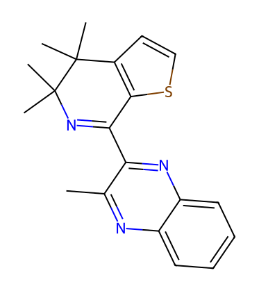 Cc1nc2ccccc2nc1C1=NC(C)(C)C(C)(C)c2ccsc21